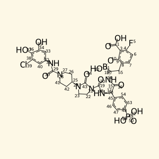 O=C(O)c1c(F)ccc2c1OB(O)[C@@H](NC(=O)[C@H](NC(=O)N1CCN(C3CCN(C(=O)Nc4cc(O)c(O)c(Cl)c4)CC3)C1=O)c1ccc(P(=O)(O)O)cc1)C2